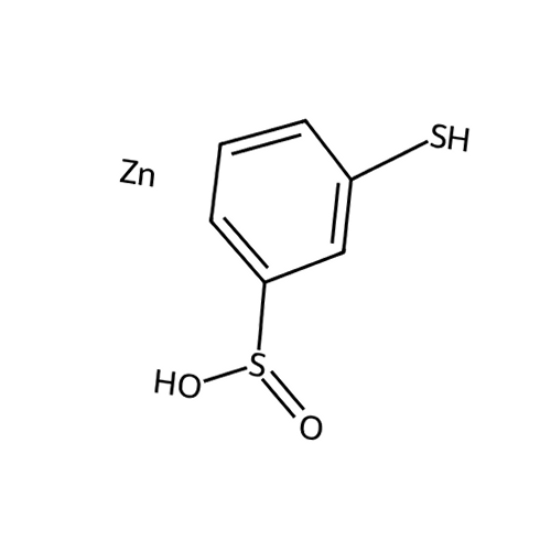 O=S(O)c1cccc(S)c1.[Zn]